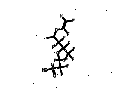 CC(OC(F)=C(F)F)C(F)(F)C(F)(OC(F)(F)C(F)(F)S(=O)(=O)O)C(F)(F)F